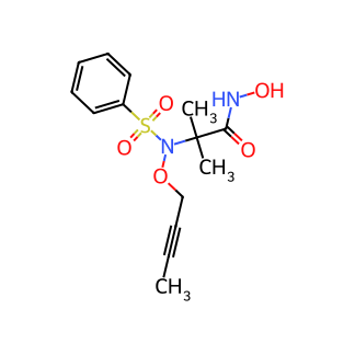 CC#CCON(C(C)(C)C(=O)NO)S(=O)(=O)c1ccccc1